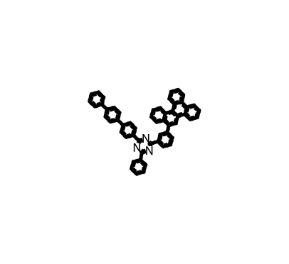 c1ccc(-c2ccc(-c3ccc(-c4nc(-c5ccccc5)nc(-c5cccc(-c6cc7c8ccccc8c8ccccc8c7c7ccccc67)c5)n4)cc3)cc2)cc1